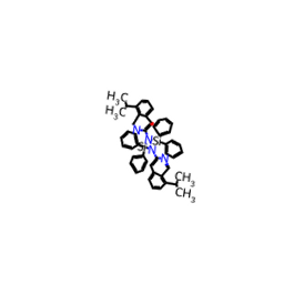 CC(C)c1cccc2cc(N3[Si](c4ccccc4)(c4ccccc4)N(c4cc5cccc(C(C)C)c5cn4)[Si]3(c3ccccc3)c3ccccc3)ncc12